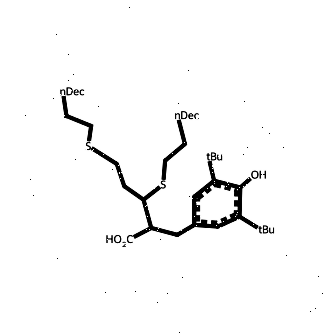 CCCCCCCCCCCCSCCC(SCCCCCCCCCCCC)C(Cc1cc(C(C)(C)C)c(O)c(C(C)(C)C)c1)C(=O)O